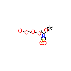 COCCOCCOCCOC(C)C(CO[Si](C)(C)C(C)(C)C)N1CCS(=O)(=O)CC1